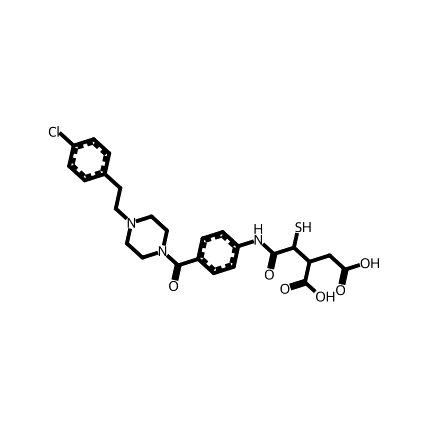 O=C(O)CC(C(=O)O)C(S)C(=O)Nc1ccc(C(=O)N2CCN(CCc3ccc(Cl)cc3)CC2)cc1